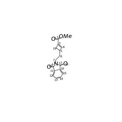 COC(=O)C1=CC(CCN2C(=O)c3ccccc3C2=O)C1